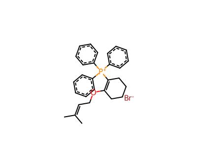 CC(C)=CCOC1=C([P+](c2ccccc2)(c2ccccc2)c2ccccc2)CCCC1.[Br-]